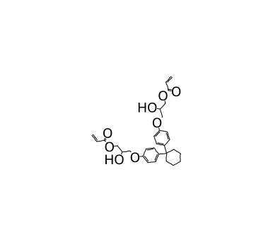 C=CC(=O)OCC(O)COc1ccc(C2(c3ccc(OCC(O)COC(=O)C=C)cc3)CCCCC2)cc1